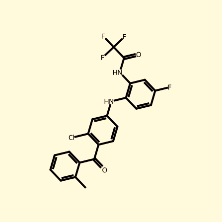 Cc1ccccc1C(=O)c1ccc(Nc2ccc(F)cc2NC(=O)C(F)(F)F)cc1Cl